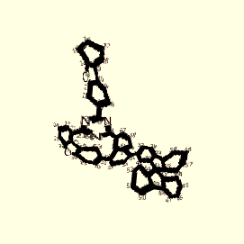 c1ccc(-c2nc(-c3ccc4c(c3)oc3ccccc34)nc(-c3cccc4oc5ccc(-c6ccc(-c7ccc8c(c7)C7(c9ccccc9-c9ccccc97)c7ccccc7-8)cc6)cc5c34)n2)cc1